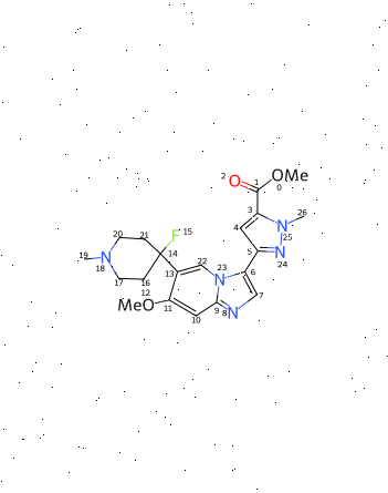 COC(=O)c1cc(-c2cnc3cc(OC)c(C4(F)CCN(C)CC4)cn23)nn1C